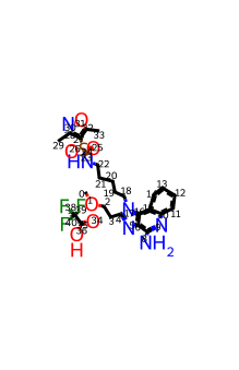 COCCc1nc2c(N)nc3ccccc3c2n1CCCCCNS(=O)(=O)c1c(C)noc1C.O=C(O)C(F)(F)F